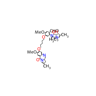 COc1cc2c(cc1OCCCCCOc1cc(N(C)C(O)C3CC(C)=CN3C)c(C=O)cc1OC)N=CC1CC(C)=CN1C2=O